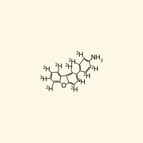 [2H]c1c([2H])c(-c2c([2H])c([2H])c3oc4c([2H])c([2H])c([2H])c([2H])c4c3c2[2H])c([2H])c([2H])c1N